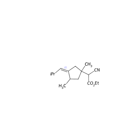 CCOC(=O)C(C#N)C1(C)C/C(=C/C(C)C)C(C)C1